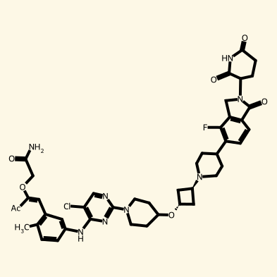 CC(=O)/C(=C\c1cc(Nc2nc(N3CCC(O[C@H]4C[C@H](N5CCC(c6ccc7c(c6F)CN(C6CCC(=O)NC6=O)C7=O)CC5)C4)CC3)ncc2Cl)ccc1C)OCC(N)=O